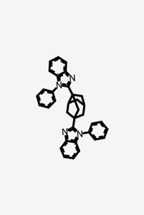 c1ccc(-n2c(C34CC5CC(C3)C(c3nc6ccccc6n3-c3ccccc3)(C5)C4)nc3ccccc32)cc1